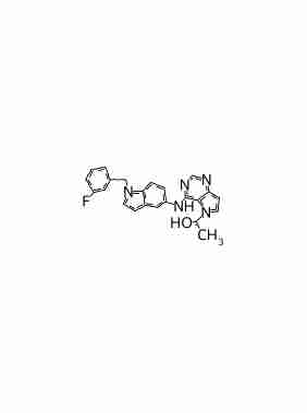 C[C](O)n1ccc2ncnc(Nc3ccc4c(ccn4Cc4cccc(F)c4)c3)c21